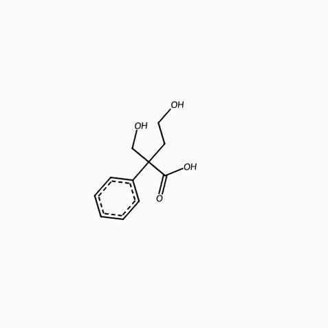 O=C(O)C(CO)(CCO)c1ccccc1